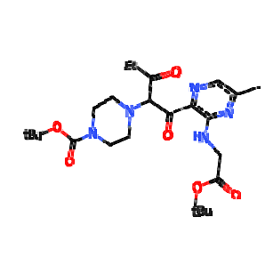 CCC(=O)C(C(=O)c1ncc(C)nc1NCC(=O)OC(C)(C)C)N1CCN(C(=O)OC(C)(C)C)CC1